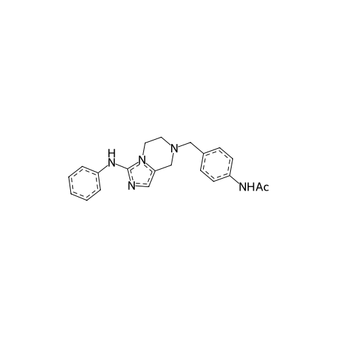 CC(=O)Nc1ccc(CN2CCn3c(cnc3Nc3ccccc3)C2)cc1